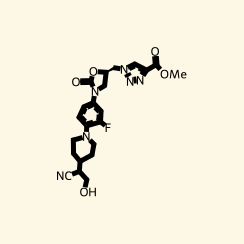 COC(=O)c1cn(C[C@H]2CN(c3ccc(N4CCC(C(C#N)CO)CC4)c(F)c3)C(=O)O2)nn1